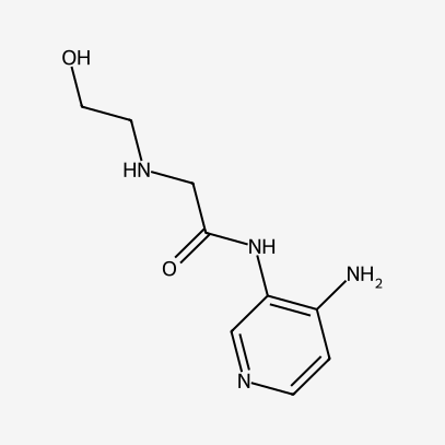 Nc1ccncc1NC(=O)CNCCO